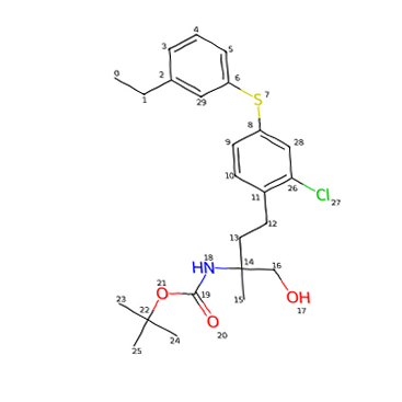 CCc1cccc(Sc2ccc(CCC(C)(CO)NC(=O)OC(C)(C)C)c(Cl)c2)c1